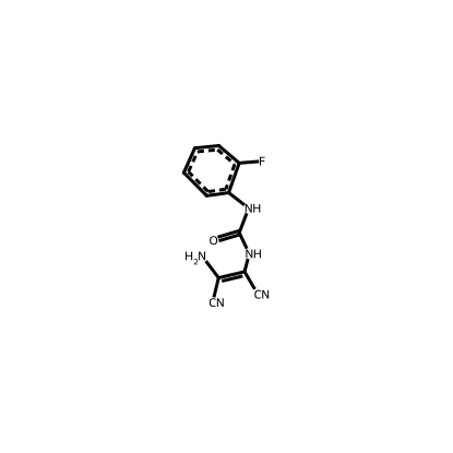 N#CC(N)=C(C#N)NC(=O)Nc1ccccc1F